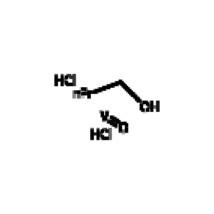 CCCCO.Cl.Cl.[O]=[V]